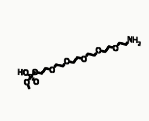 COP(=O)(O)OCCOCCOCCOCCOCCOCCN